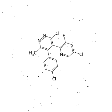 Cc1nnc(Cl)c(-c2ncc(Cl)cc2F)c1-c1ccc(Cl)cc1